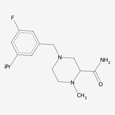 CC(C)c1cc(F)cc(CN2CCN(C)C(C(N)=O)C2)c1